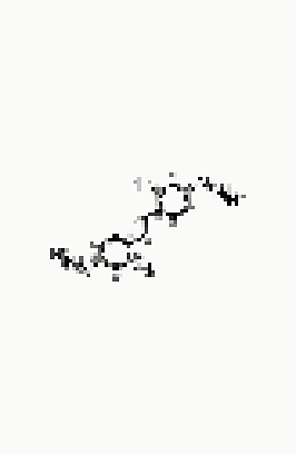 [2H]c1cc(N=[N+]=[N-])ccc1C=Cc1ccc(N=[N+]=[N-])cc1[2H]